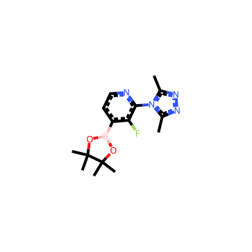 Cc1nnc(C)n1-c1nccc(B2OC(C)(C)C(C)(C)O2)c1F